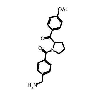 CC(=O)Oc1ccc(C(=O)C2CCCN2C(=O)c2ccc(CN)cc2)cc1